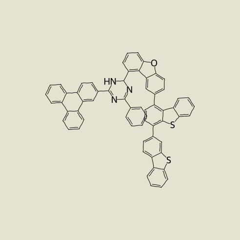 c1ccc(C2=NC(c3cccc4oc5ccc(-c6ccc(-c7ccc8c(c7)sc7ccccc78)c7sc8ccccc8c67)cc5c34)NC(c3ccc4c5ccccc5c5ccccc5c4c3)=N2)cc1